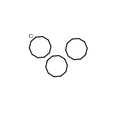 C1CCCCCCCCC1.C1CCCCCCCCC1.C1CCCCCCCCC1.[C]